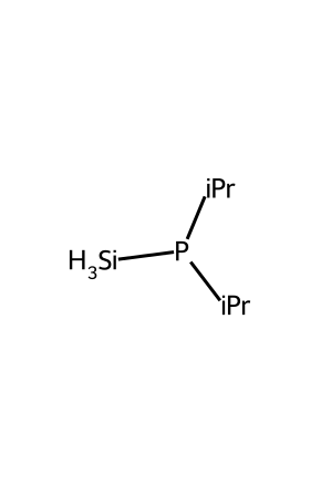 CC(C)P([SiH3])C(C)C